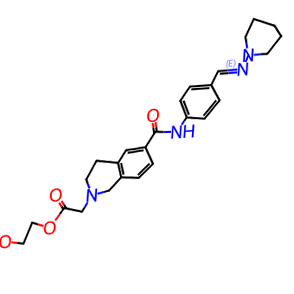 COCCOC(=O)CN1CCc2cc(C(=O)Nc3ccc(/C=N/N4CCCCC4)cc3)ccc2C1